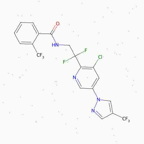 O=C(NCC(F)(F)c1ncc(-n2cc(C(F)(F)F)cn2)cc1Cl)c1ccccc1C(F)(F)F